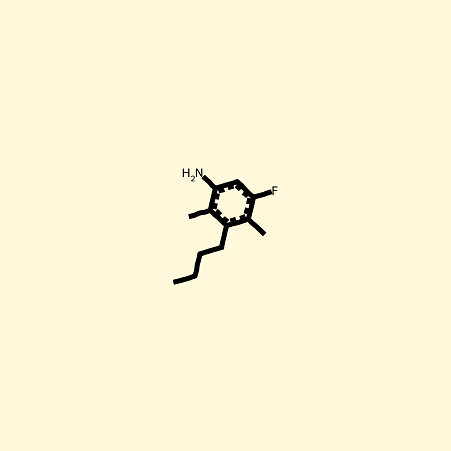 CCCCc1c(C)c(N)cc(F)c1C